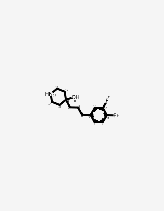 OC1(CCCc2ccc(F)c(F)c2)CCNCC1